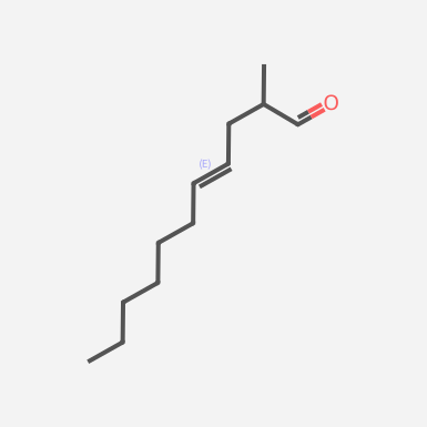 CCCCCC/C=C/CC(C)C=O